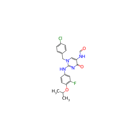 CC(C)Oc1ccc(Nc2nc(=O)c(NC=O)cn2Cc2ccc(Cl)cc2)cc1F